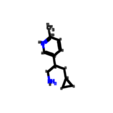 NCC(CC1CC1)c1ccc(C(F)(F)F)nc1